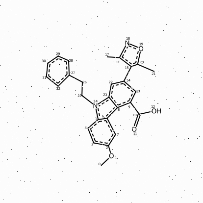 COc1ccc2c(c1)c1c(C(=O)O)cc(-c3c(C)noc3C)cc1n2CCc1ccccc1